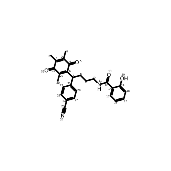 CC1=C(C)C(=O)C(C(CCCNC(=O)c2ccccc2O)c2ccc(C#N)cc2)=C(C)C1=O